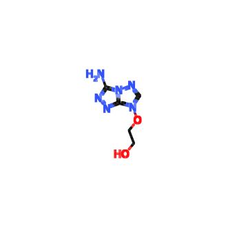 Nc1nnc2n(OCCO)cnn12